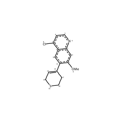 COc1cc2nccc(Cl)c2cc1C1=CCSCC1